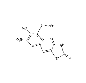 CCCOc1cc(/C=C2/SC(=O)NC2=O)cc([N+](=O)[O-])c1O